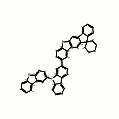 c1ccc2c(c1)-c1cc3oc4ccc(-c5ccc6c7ccccc7n(-c7ccc8oc9ccccc9c8c7)c6c5)cc4c3cc1C21CCCCC1